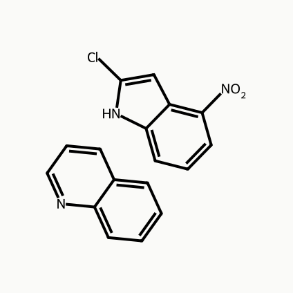 O=[N+]([O-])c1cccc2[nH]c(Cl)cc12.c1ccc2ncccc2c1